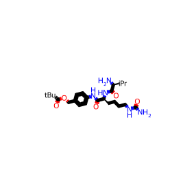 CC(C)[C@H](N)C(=O)N[C@@H](CCCCNC(N)=O)C(=O)Nc1ccc(COC(=O)C(C)(C)C)cc1